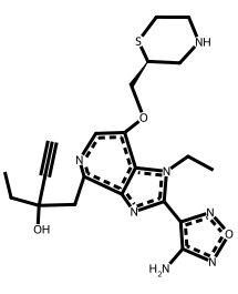 C#CC(O)(CC)Cc1ncc(OC[C@@H]2CNCCS2)c2c1nc(-c1nonc1N)n2CC